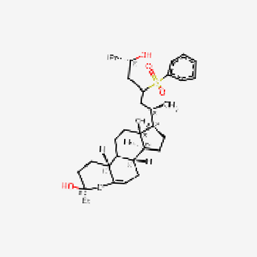 CC[C@]1(O)CC[C@H]2C(=CC[C@@H]3C2CC[C@]2(C)[C@@H]([C@H](C)CC(C[C@@H](O)C(C)C)S(=O)(=O)c4ccccc4)CC[C@@H]32)C1